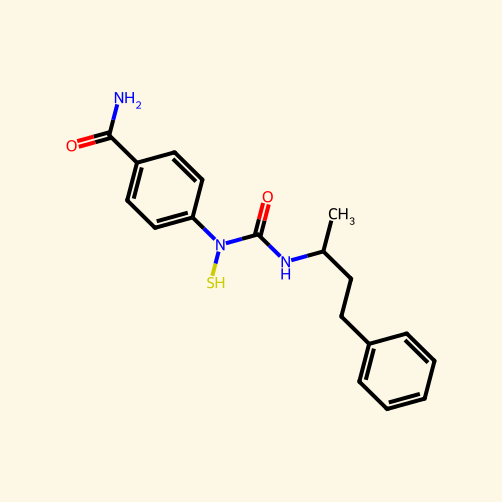 CC(CCc1ccccc1)NC(=O)N(S)c1ccc(C(N)=O)cc1